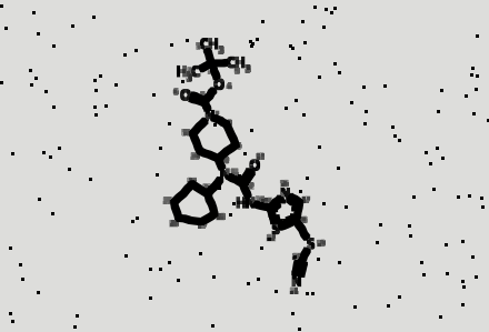 CC(C)(C)OC(=O)N1CCC(N(C(=O)Nc2ncc(SC#N)s2)C2CCCCC2)CC1